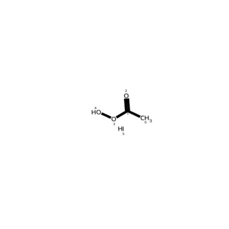 CC(=O)OO.I